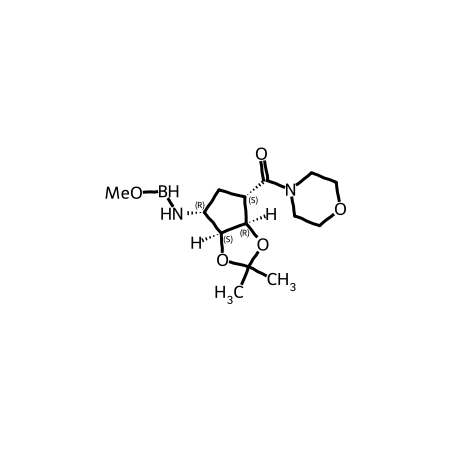 COBN[C@@H]1C[C@H](C(=O)N2CCOCC2)[C@H]2OC(C)(C)O[C@H]21